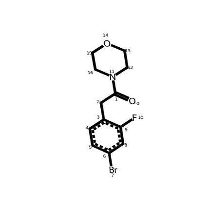 O=C(Cc1ccc(Br)cc1F)N1CCOCC1